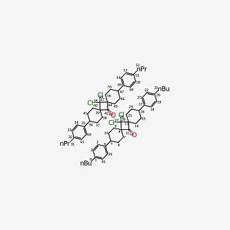 CCCCc1ccc(C2CCC3(CC2)C(=O)C2(CCC(c4ccc(CCCC)cc4)CC2)C3(Cl)Cl)cc1.CCCc1ccc(C2CCC3(CC2)C(=O)C2(CCC(c4ccc(CCC)cc4)CC2)C3(Cl)Cl)cc1